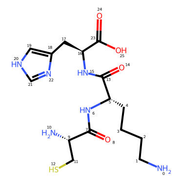 NCCCC[C@H](NC(=O)[C@@H](N)CS)C(=O)N[C@@H](Cc1c[nH]cn1)C(=O)O